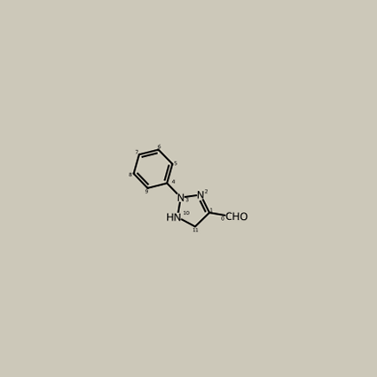 O=CC1=NN(c2ccccc2)NC1